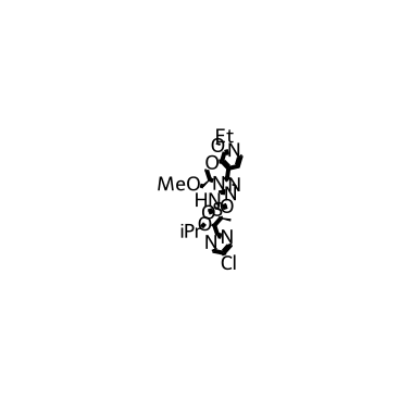 CCOc1nccc2c1OC[C@H](COC)n1c(NS(=O)(=O)[C@@H](C)[C@H](OC(C)C)c3ncc(Cl)cn3)nnc1-2